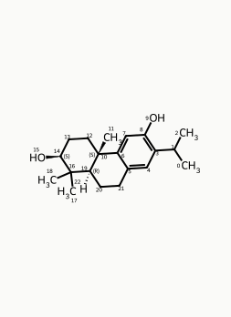 CC(C)c1cc2c(cc1O)[C@@]1(C)CC[C@H](O)C(C)(C)[C@@H]1CC2